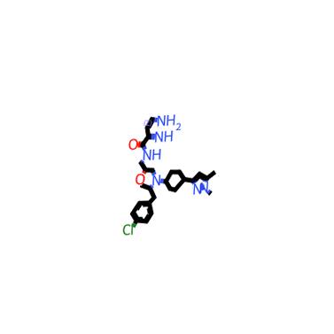 Cc1cc(C2CCC(N3CC(CNC(=O)C(=N)/C=C\N)OCC3Cc3ccc(Cl)cc3)CC2)nn1C